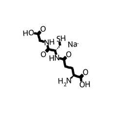 N[C@@H](CCC(=O)N[C@@H](CS)C(=O)NCC(=O)O)C(=O)O.[Na]